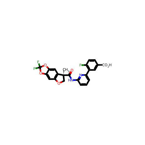 C[C@]1(C(=O)Nc2cccc(-c3cc(C(=O)O)ccc3F)n2)COc2cc3c(cc21)OC(F)(F)O3